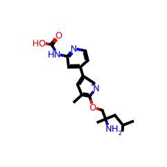 Cc1cc(-c2ccnc(NC(=O)O)c2)cnc1OCC(C)(N)CC(C)C